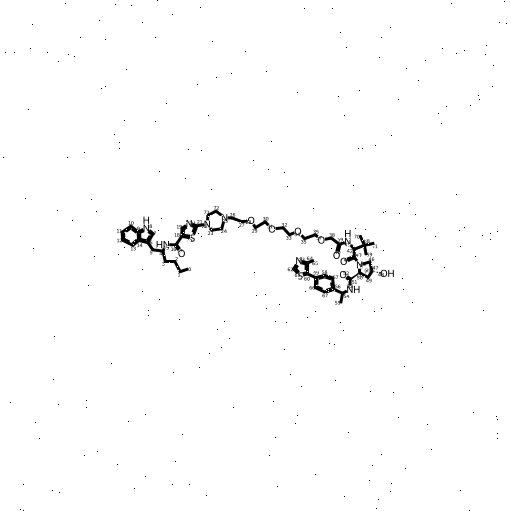 CCCCC(Cc1c[nH]c2ccccc12)NC(=O)c1cnc(N2CCN(CCOCCOCCOCCOCC(=O)NC(C(=O)N3C[C@H](O)C[C@H]3C(=O)NC(C)c3ccc(-c4scnc4C)cc3)C(C)(C)C)CC2)s1